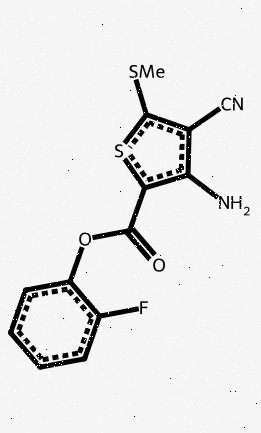 CSc1sc(C(=O)Oc2ccccc2F)c(N)c1C#N